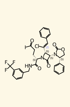 O=C(I)CC[C@@H](C(=O)NCc1cccc(C(F)(F)F)c1)N1C(=O)[C@@H](N2C(=O)OC[C@@H]2c2ccccc2)[C@H]1/C(Cl)=C/c1ccccc1